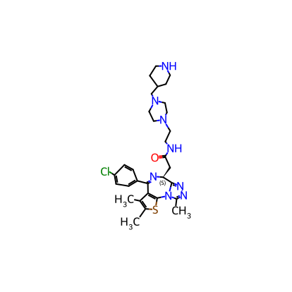 Cc1sc2c(c1C)C(c1ccc(Cl)cc1)=N[C@@H](CC(=O)NCCN1CCN(CC3CCNCC3)CC1)c1nnc(C)n1-2